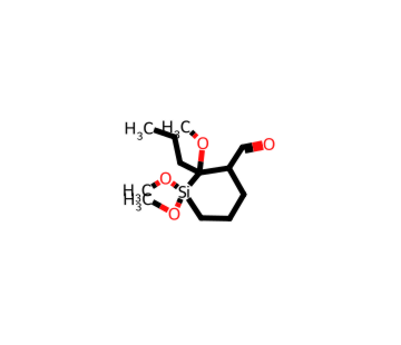 CCCC1(OC)C(C=O)CCC[Si]1(OC)OC